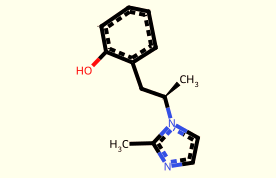 Cc1nccn1[C@H](C)Cc1ccc[c]c1O